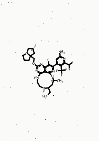 CCC1C[C@H](C)Oc2nc(-c3cc(N)nc(C(F)F)c3C(F)(F)F)c(F)c3nc(OCC45CCCN4C[C@H](F)C5)nc(c23)NCCN1